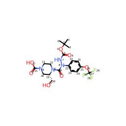 CC(C)(C)OC(=O)NN(C(=O)N1CCN(C(=O)O)C[C@H]1CO)c1ccc(OC(F)(F)F)cc1